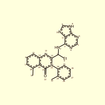 CCC(Nc1ncnc2[nH]cnc12)c1nc2cccc(C)c2c(=O)n1-c1ccccc1C